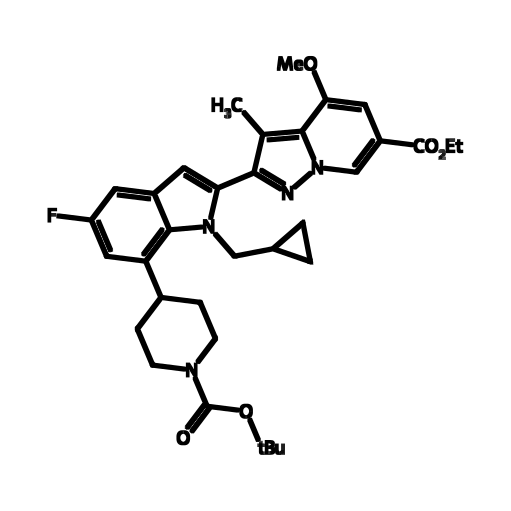 CCOC(=O)c1cc(OC)c2c(C)c(-c3cc4cc(F)cc(C5CCN(C(=O)OC(C)(C)C)CC5)c4n3CC3CC3)nn2c1